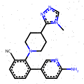 Cn1cnnc1C1CCN(c2c(C#N)cccc2-c2ccc(N)nc2)CC1